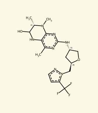 Cc1nc(N[C@@H]2CO[C@@H](Cn3nccc3C(F)(F)F)C2)nc2c1NC(O)[C@H](C)N2C